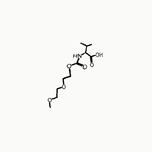 COCCOCCOC(=O)N[C@H](C(=O)O)C(C)C